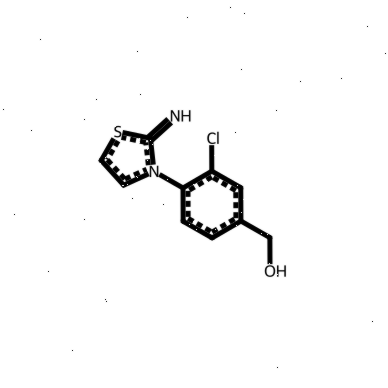 N=c1sccn1-c1ccc(CO)cc1Cl